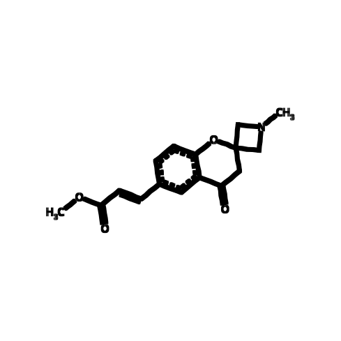 COC(=O)/C=C/c1ccc2c(c1)C(=O)CC1(CN(C)C1)O2